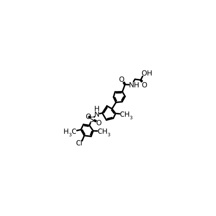 Cc1cc(S(=O)(=O)Nc2ccc(C)c(-c3ccc(C(=O)NCC(=O)O)cc3)c2)c(C)cc1Cl